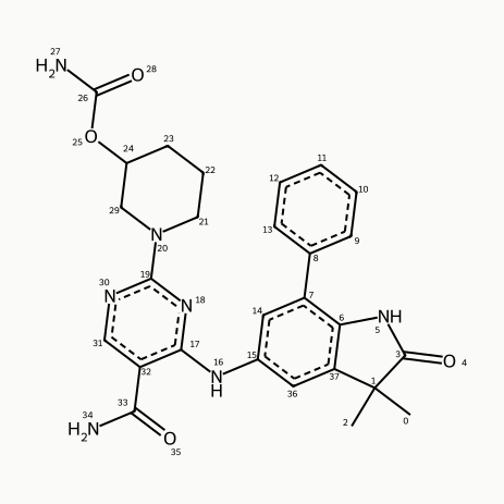 CC1(C)C(=O)Nc2c(-c3ccccc3)cc(Nc3nc(N4CCCC(OC(N)=O)C4)ncc3C(N)=O)cc21